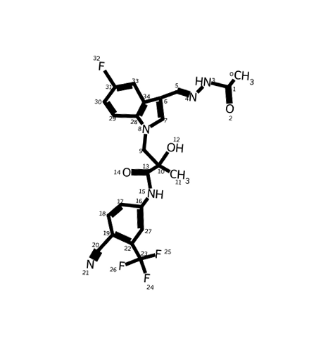 CC(=O)NN=Cc1cn(CC(C)(O)C(=O)Nc2ccc(C#N)c(C(F)(F)F)c2)c2ccc(F)cc12